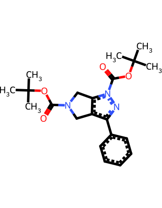 CC(C)(C)OC(=O)N1Cc2c(-c3ccccc3)nn(C(=O)OC(C)(C)C)c2C1